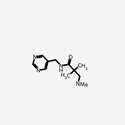 CNCC(C)(C)C(=O)NCc1cncnc1